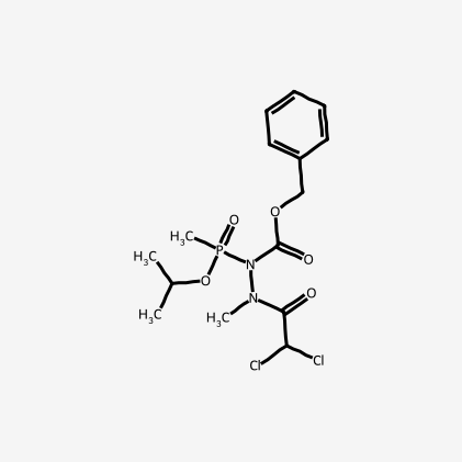 CC(C)OP(C)(=O)N(C(=O)OCc1ccccc1)N(C)C(=O)C(Cl)Cl